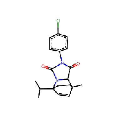 CC(C)C12C=CC(C)(CC1)C1C(=O)N(c3ccc(Cl)cc3)C(=O)N12